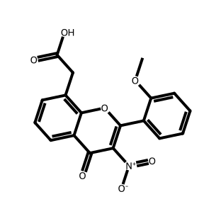 COc1ccccc1-c1oc2c(CC(=O)O)cccc2c(=O)c1[N+](=O)[O-]